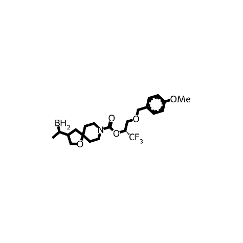 BC(C)C1COC2(CCN(C(=O)O[C@H](COCc3ccc(OC)cc3)C(F)(F)F)CC2)C1